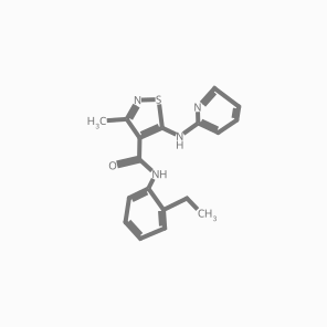 CCc1ccccc1NC(=O)c1c(C)nsc1Nc1ccccn1